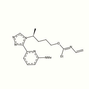 C=C/N=C(\CC)OCCC[C@H](C)n1cnnc1-c1cccc(NC)n1